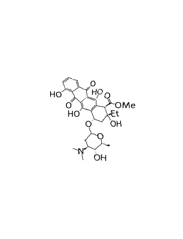 CC[C@@]1(O)C[C@H](OC2C[C@H](N(C)C)[C@@H](O)[C@H](C)O2)c2c(O)c3c(c(O)c2[C@H]1C(=O)OC)C(=O)c1cccc(O)c1C3=O